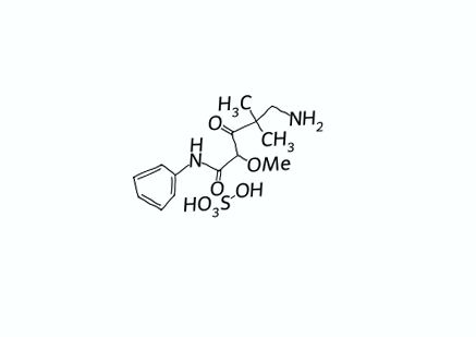 COC(C(=O)Nc1ccccc1)C(=O)C(C)(C)CN.O=S(=O)(O)O